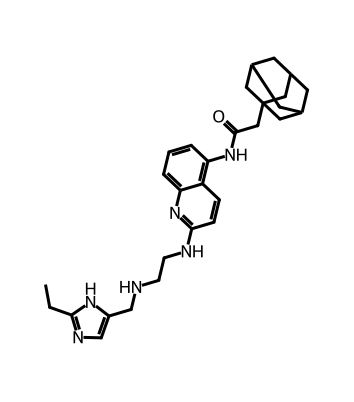 CCc1ncc(CNCCNc2ccc3c(NC(=O)CC45CC6CC(CC(C6)C4)C5)cccc3n2)[nH]1